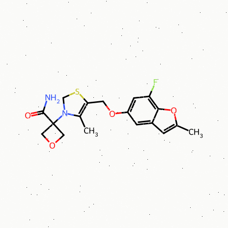 CC1=C(COc2cc(F)c3oc(C)cc3c2)SCN1C1(C(N)=O)COC1